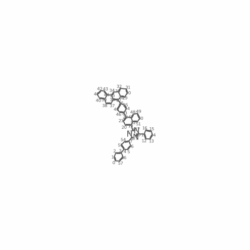 c1ccc(-c2ccc(-c3nc(-c4ccccc4)nc(-c4ccc(-c5ccc(-c6c7ccccc7cc7c6ccc6ccccc67)cc5)c5ccccc45)n3)cc2)cc1